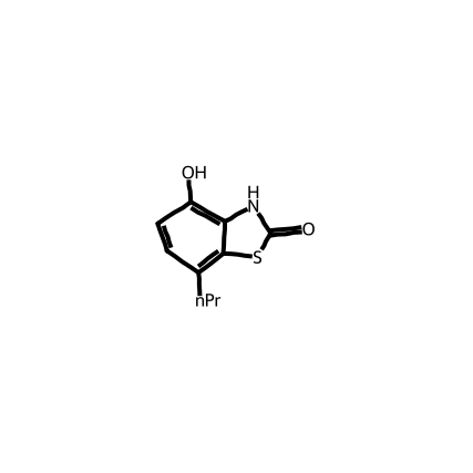 CCCc1ccc(O)c2[nH]c(=O)sc12